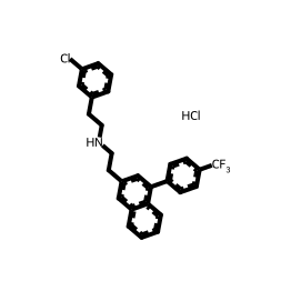 Cl.FC(F)(F)c1ccc(-c2cc(CCNCCc3cccc(Cl)c3)cc3ccccc23)cc1